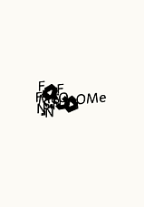 COc1ccc(CN(Sc2cc(F)c(F)cc2F)c2ncns2)c(OC)c1